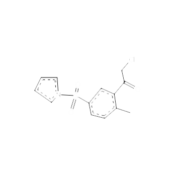 Cc1ccc(S(=O)(=O)n2cccc2)cc1C(=O)CCl